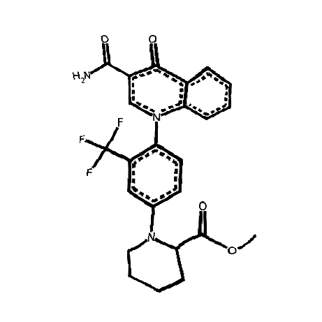 COC(=O)C1CCCCN1c1ccc(-n2cc(C(N)=O)c(=O)c3ccccc32)c(C(F)(F)F)c1